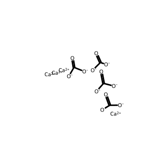 O=C([O-])[O-].O=C([O-])[O-].O=C([O-])[O-].O=C([O-])[O-].[Ca+2].[Ca+2].[Ca+2].[Ca+2]